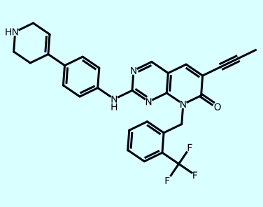 CC#Cc1cc2cnc(Nc3ccc(C4=CCNCC4)cc3)nc2n(Cc2ccccc2C(F)(F)F)c1=O